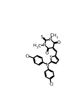 CN1C(=O)C(=Cc2ccc(N(c3ccc(Cl)cc3)c3ccc(Cl)cc3)s2)C(=O)N(C)C1=S